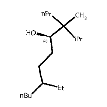 CCCCC(CC)CC[C@@H](O)C(C)(CCC)C(C)C